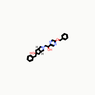 OC(CN1C[C@@H]2C[C@](O)(Cc3ccccc3)C[C@@H]2C1)c1cnc(OCc2ccccc2)cn1